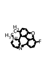 Cc1ccc2oc3c(F)ccc(C#N)c3c2c1-c1cccc[n+]1C